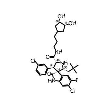 CC(C)(C)C[C@H]1N[C@@H](C(=O)NCCCC2C[C@@H](O)[C@@H](O)C2)[C@H](c2cccc(Cl)c2)[C@@]12C(=O)Nc1cc(Cl)c(F)cc12